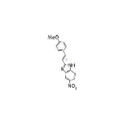 COc1ccc(/C=C/c2nc3cc([N+](=O)[O-])ccc3[nH]2)cc1